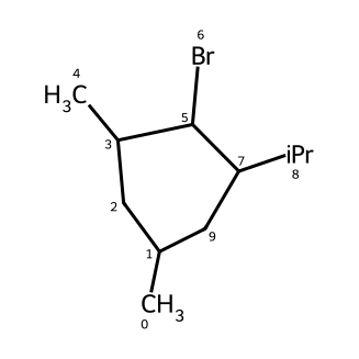 CC1CC(C)C(Br)C(C(C)C)C1